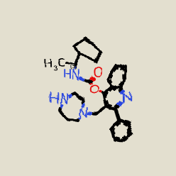 C[C@H](NC(=O)Oc1c(CN2CCCNCC2)c(-c2ccccc2)nc2ccccc12)C1CCCCC1